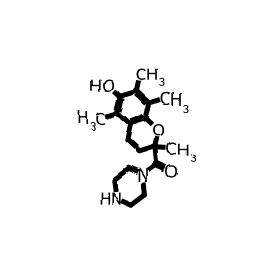 Cc1c(C)c2c(c(C)c1O)CCC(C)(C(=O)N1CCNCC1)O2